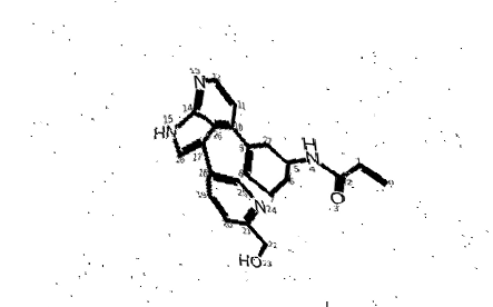 C=CC(=O)NC1CCC=C(c2ccnc3[nH]cc(-c4ccc(CO)nc4)c23)C1